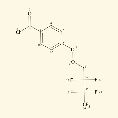 O=C(Cl)c1ccc(OOCC(F)(F)C(F)(F)C(F)(F)F)cc1